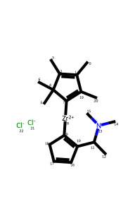 CC1=C(C)C(C)(C)[C]([Zr+2][C]2=C(C(C)N(C)C)C=CC2)=C1C.[Cl-].[Cl-]